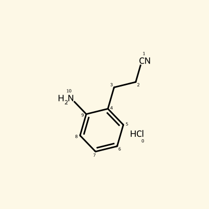 Cl.N#CCCc1ccccc1N